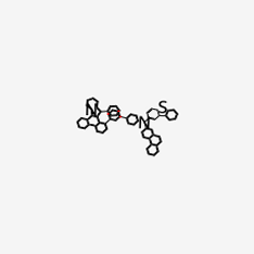 C1=CC2Sc3ccccc3C2C=C1N(c1ccc(-c2cccc(-c3cccc4c5ccccc5c5c(c(-c6ccccc6)c6ccccn65)c34)c2)cc1)c1ccc2c(ccc3ccccc32)c1